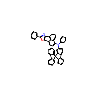 c1ccc(-c2nc3c(o2)-c2ccc(N(c4ccccc4)c4ccc5c(c4)C4(c6ccccc6-c6ccccc64)c4ccccc4-5)c4cccc-3c24)cc1